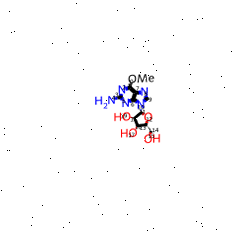 COc1nc(N)nc2c1ncn2[C@@H]1O[C@H](CO)[C@H](O)[C@@H]1O